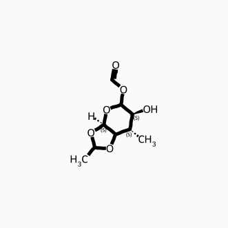 CC1OC2[C@@H](O1)OC(OC=O)[C@@H](O)[C@@H]2C